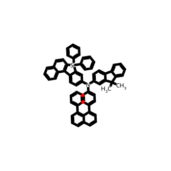 CC1(C)c2ccccc2-c2ccc(N(c3ccc(-c4cccc5cccc(-c6ccccc6)c45)cc3)c3ccc4c(c3)[Si](c3ccccc3)(c3ccccc3)c3ccc5ccccc5c3-4)cc21